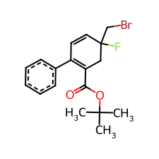 CC(C)(C)OC(=O)C1=C(c2ccccc2)C=CC(F)(CBr)C1